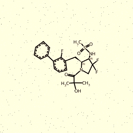 CC(C)(O)C(=O)N1CC(F)(F)[C@H](NS(C)(=O)=O)[C@@H]1Cc1cccc(-c2ccccc2)c1F